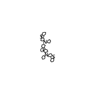 c1ccc(N(c2ccc3c(c2)oc2ccc(N(c4ccccc4)c4ccc5sc6ccccc6c5c4)cc23)c2ccc3sc4ccccc4c3c2)cc1